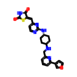 O=C1NC(=O)/C(=C/c2ccnc(N[C@H]3CC[C@H](NCc4cccc(-c5ccoc5)n4)CC3)n2)S1